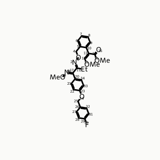 CCC(=NOCc1ccccc1C(=COC)C(=O)OC)C(=NOC)c1ccc(OCc2ccc(F)cc2)cc1